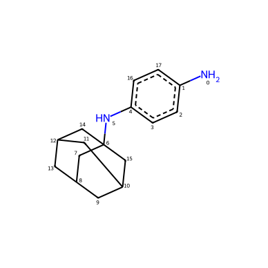 Nc1ccc(NC23CC4CC(CC(C4)C2)C3)cc1